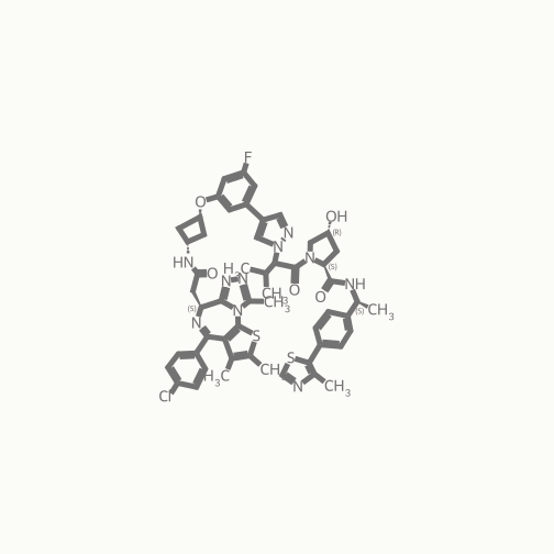 Cc1ncsc1-c1ccc([C@H](C)NC(=O)[C@@H]2C[C@@H](O)CN2C(=O)C(C(C)C)n2cc(-c3cc(F)cc(O[C@H]4C[C@@H](NC(=O)C[C@@H]5N=C(c6ccc(Cl)cc6)c6c(sc(C)c6C)-n6c(C)nnc65)C4)c3)cn2)cc1